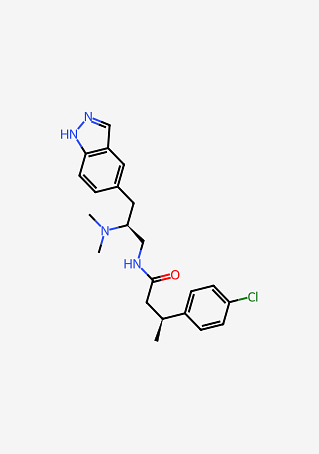 C[C@@H](CC(=O)NC[C@H](Cc1ccc2[nH]ncc2c1)N(C)C)c1ccc(Cl)cc1